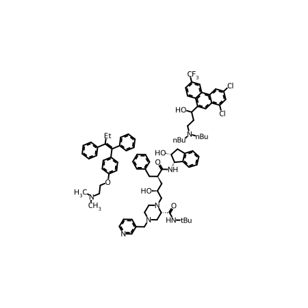 CC(C)(C)NC(=O)[C@@H]1CN(Cc2cccnc2)CCN1C[C@@H](O)C[C@@H](Cc1ccccc1)C(=O)N[C@H]1c2ccccc2C[C@H]1O.CC/C(=C(\c1ccccc1)c1ccc(OCCN(C)C)cc1)c1ccccc1.CCCCN(CCCC)CCC(O)c1cc2c(Cl)cc(Cl)cc2c2cc(C(F)(F)F)ccc12